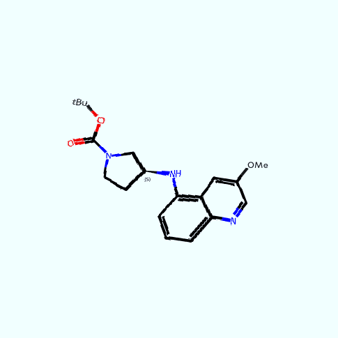 COc1cnc2cccc(N[C@H]3CCN(C(=O)OC(C)(C)C)C3)c2c1